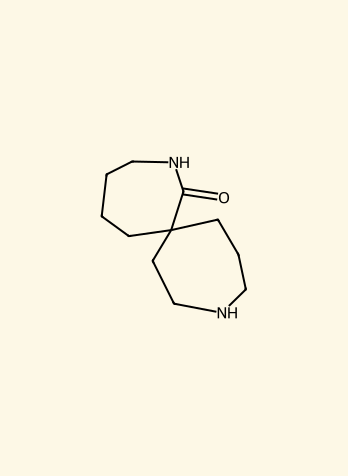 O=C1NCCCCC12CCCNCC2